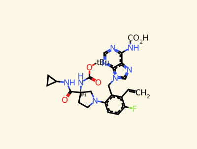 C=Cc1c(F)ccc(N2CC[C@](NC(=O)OC(C)(C)C)(C(=O)NC3CC3)C2)c1Cn1cnc2c(NC(=O)O)ncnc21